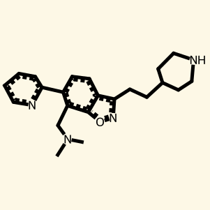 CN(C)Cc1c(-c2ccccn2)ccc2c(CCC3CCNCC3)noc12